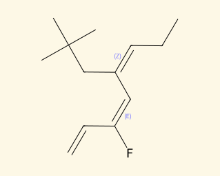 C=C/C(F)=C\C(=C/CC)CC(C)(C)C